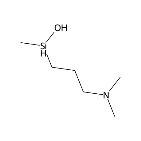 CN(C)CCC[SiH](C)O